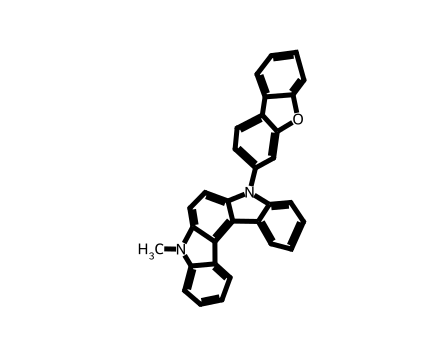 Cn1c2ccccc2c2c3c4ccccc4n(-c4ccc5c(c4)oc4ccccc45)c3ccc21